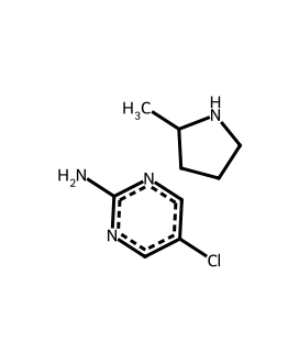 CC1CCCN1.Nc1ncc(Cl)cn1